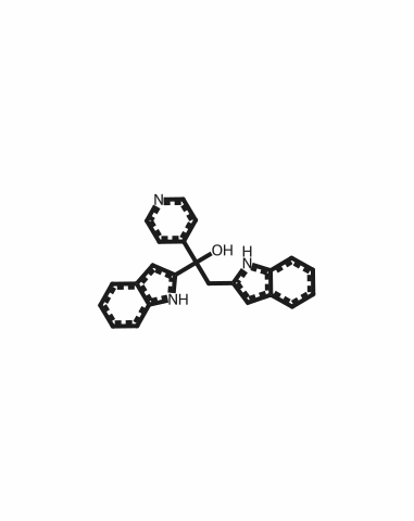 OC(Cc1cc2ccccc2[nH]1)(c1ccncc1)c1cc2ccccc2[nH]1